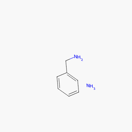 N.NCc1ccccc1